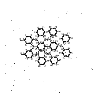 Cc1ccc2c(c1)B1c3cc(C)ccc3N3c4ccccc4B4c5c6c7c(c1c53)N2c1ccccc1B7N(c1ccccc1)c1cc(N(c2ccccc2)c2ccccc2)cc(c1-6)N4c1ccccc1